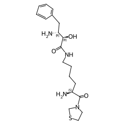 N[C@H](Cc1ccccc1)[C@@H](O)C(=O)NCCCC[C@H](N)C(=O)N1CCSC1